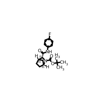 CC(C)(C)OC(=O)N1[C@@H]2CC[C@@H](C2)[C@H]1C(=O)Nc1ccc(F)cc1